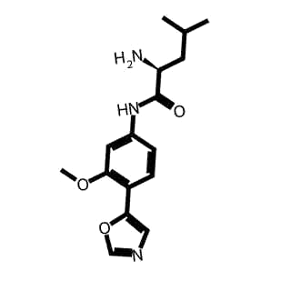 COc1cc(NC(=O)[C@@H](N)CC(C)C)ccc1-c1cnco1